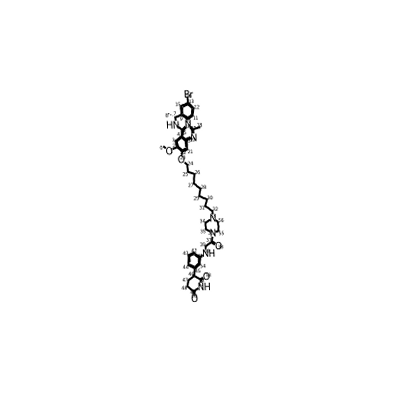 COc1cc2c(N[C@H](C)c3cccc(Br)c3)nc(C)nc2cc1OCCCCCCCCCN1CCN(C(=O)CNc2cccc(C3CCC(=O)NC3=O)c2)CC1